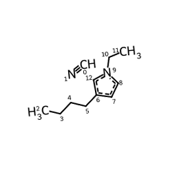 C#N.CCCCc1ccn(CC)c1